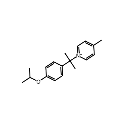 Cc1cc[n+](C(C)(C)c2ccc(OC(C)C)cc2)cc1